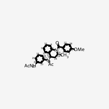 COc1ccc(C(=O)N2c3ccccc3[C@H](N(C(C)=O)c3cccc(NC(C)=O)c3)C[C@@H]2C)cc1